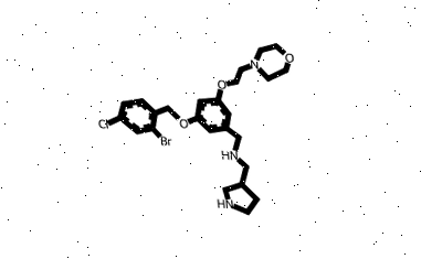 Clc1ccc(COc2cc(CNCC3CCNC3)cc(OCCN3CCOCC3)c2)c(Br)c1